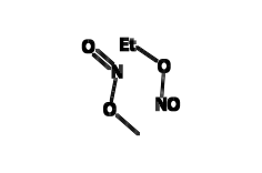 CCON=O.CON=O